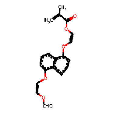 C=C(C)C(=O)O/C=C\Oc1cccc2c(O/C=C\OC=O)cccc12